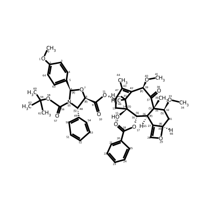 COc1ccc([C@H]2O[C@@H](C(=O)O[C@H]3C[C@@]4(O)[C@@H](OC(=O)c5ccccc5)[C@@H]5C6=CO[C@@H]6C[C@H](OC)[C@@]5(C)C(=O)[C@H](OC)C(=C3C)C4(C)C)[C@H](c3ccccc3)N2C(=O)OC(C)(C)C)cc1